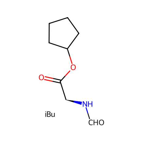 CC[C@H](C)[C@H](NC=O)C(=O)OC1CCCC1